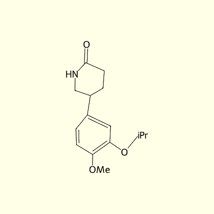 COc1ccc(C2CCC(=O)NC2)cc1OC(C)C